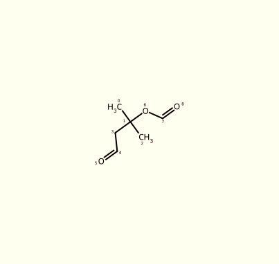 CC(C)(CC=O)OC=O